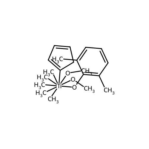 C[O][Ti]([CH3])([CH3])([CH3])([CH3])([CH3])([O]C)([O]c1c(C)cccc1C)[C]1=CC=CC1